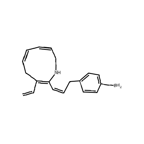 Bc1ccc(C/C=C\C2=C(/C=C)C/C=C\C=C/CN2)cc1